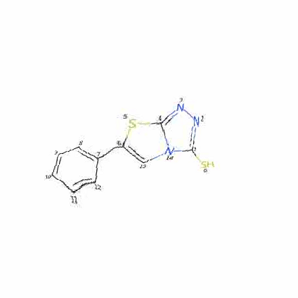 Sc1nnc2sc(-c3ccccc3)cn12